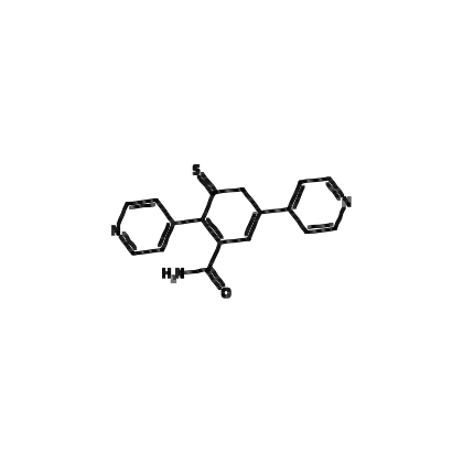 NC(=O)C1=C(c2ccncc2)C(=S)CC(c2ccncc2)=C1